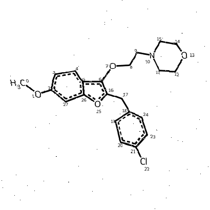 COc1ccc2c(OCCN3CCOCC3)c(Cc3ccc(Cl)cc3)oc2c1